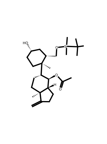 C=C1CC[C@H]2[C@H](OC(C)=O)[C@@H]([C@@]3(C)CC[C@H](O)C[C@@H]3CO[Si](C)(C)C(C)(C)C)CC[C@]12C